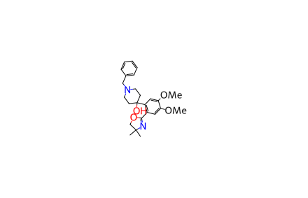 COc1cc(C2=NC(C)(C)CO2)c(C2(O)CCN(Cc3ccccc3)CC2)cc1OC